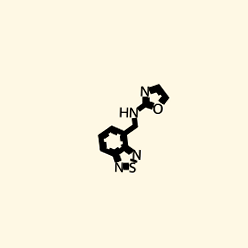 c1cc(CNc2ncco2)c2nsnc2c1